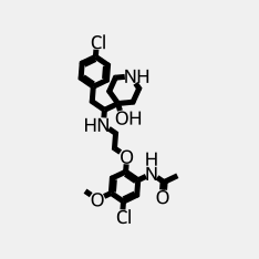 COc1cc(OCCNC(Cc2ccc(Cl)cc2)C2(O)CCNCC2)c(NC(C)=O)cc1Cl